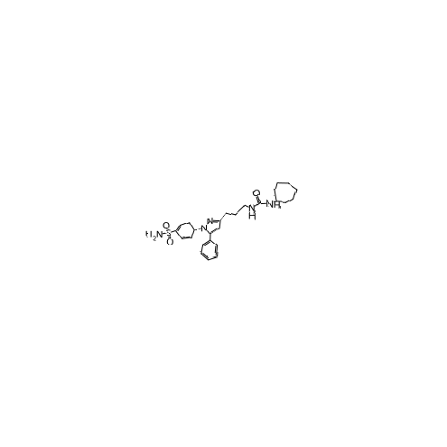 NS(=O)(=O)C1=CCC(n2nc(CCCNC(=O)NC3CCCCCC3)cc2-c2ccccc2)C=C1